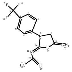 C=C1CN(c2ccc(C(F)(F)F)cc2)C(=NC(C)=O)S1